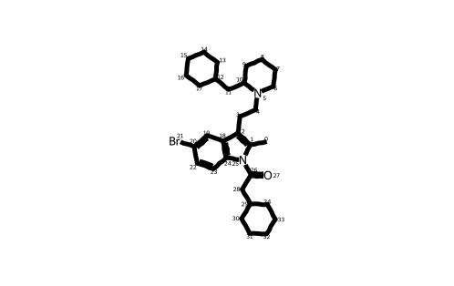 Cc1c(CCN2CCCCC2CC2CCCCC2)c2cc(Br)ccc2n1C(=O)CC1CCCCC1